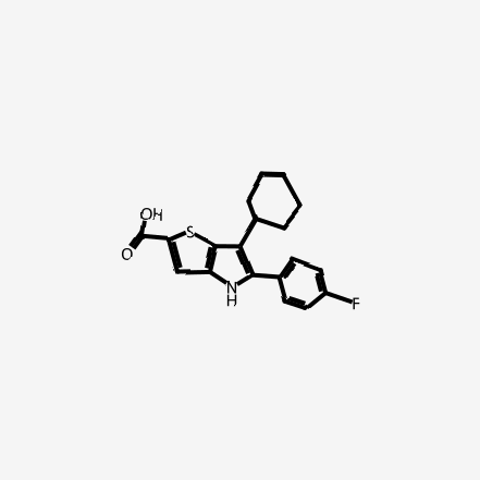 O=C(O)c1cc2[nH]c(-c3ccc(F)cc3)c(C3CCCCC3)c2s1